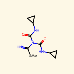 CSC(=N)N(C(=O)NC1CC1)C(=O)NC1CC1